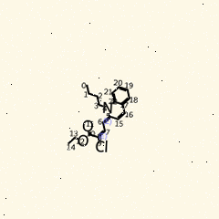 CCCCN1/C(=C/C=C(/Cl)C(=O)OCC)C=Cc2ccccc21